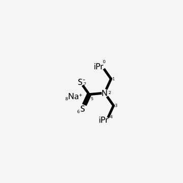 CC(C)CN(CC(C)C)C(=S)[S-].[Na+]